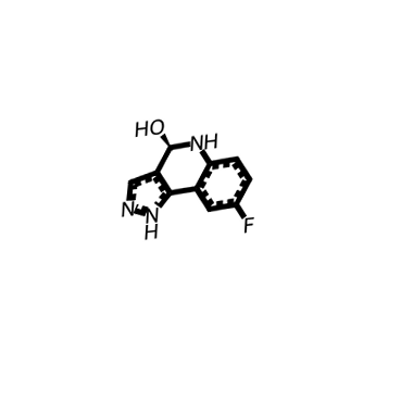 O[C@H]1Nc2ccc(F)cc2-c2[nH]ncc21